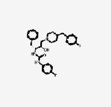 O=C(Nc1ccc(F)cc1)N[C@H](Cc1ccccc1)[C@H](O)CN1CCC(Cc2ccc(F)cc2)CC1